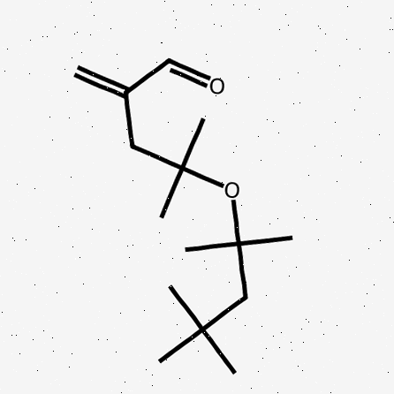 C=C(C=O)CC(C)(C)OC(C)(C)CC(C)(C)C